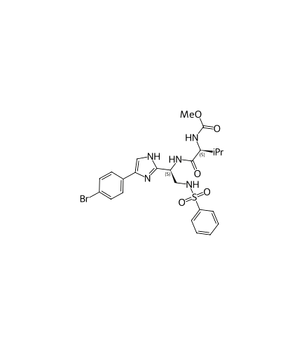 COC(=O)N[C@H](C(=O)N[C@@H](CNS(=O)(=O)c1ccccc1)c1nc(-c2ccc(Br)cc2)c[nH]1)C(C)C